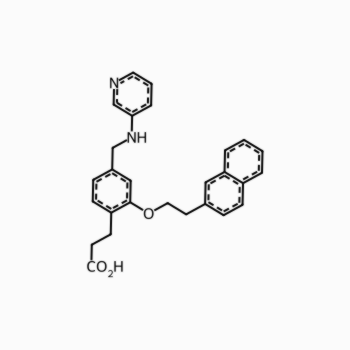 O=C(O)CCc1ccc(CNc2cccnc2)cc1OCCc1ccc2ccccc2c1